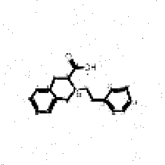 O=C(O)C1Cc2ccccc2CN1CCc1ccccc1